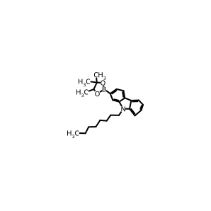 CCCCCCCCn1c2ccccc2c2ccc(B3OC(C)C(C)(C)O3)cc21